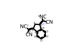 [C-]#[N+]/C(C#N)=C1\CC(=C(C#N)C#N)c2ccccc21